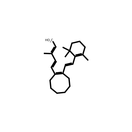 CC1=C(C=CC2=C(/C=C/C(C)=C/C(=O)O)CCCCCC2)C(C)(C)CCC1